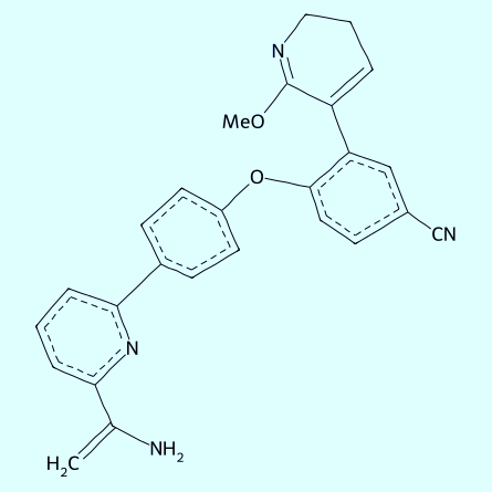 C=C(N)c1cccc(-c2ccc(Oc3ccc(C#N)cc3C3=CCCN=C3OC)cc2)n1